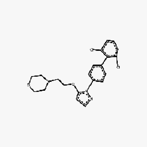 Clc1cccc(Cl)c1-c1ccc(-n2nccc2OCCN2CCOCC2)cc1